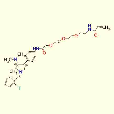 C=CC(=O)NCCOCCOCCOCC(=O)Nc1ccc([C@H]2CN(Cc3c(C)cccc3F)C[C@@H]2N(C)C)cc1